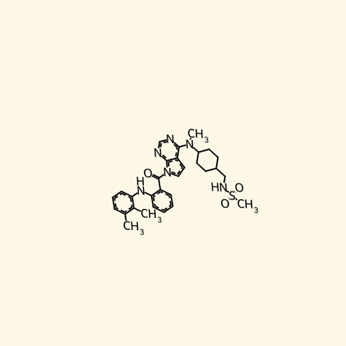 Cc1cccc(Nc2ccccc2C(=O)n2ccc3c(N(C)C4CCC(CNS(C)(=O)=O)CC4)ncnc32)c1C